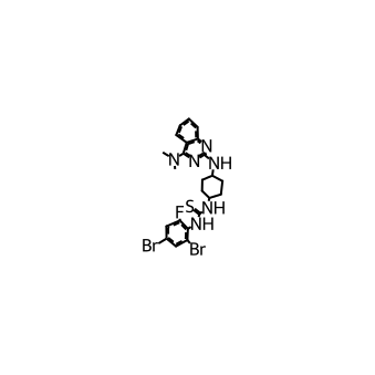 CN(C)c1nc(NC2CCC(NC(=S)Nc3c(F)cc(Br)cc3Br)CC2)nc2ccccc12